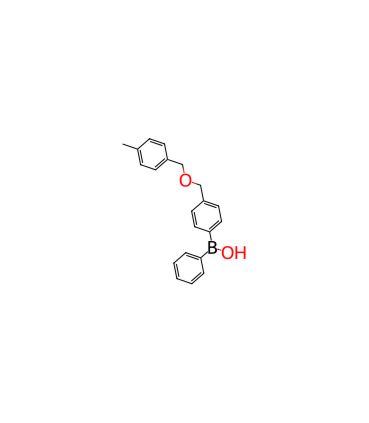 Cc1ccc(COCc2ccc(B(O)c3ccccc3)cc2)cc1